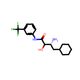 N[C@H](CC1CCCCC1)C(O)C(=O)Nc1cccc(C(F)(F)F)c1